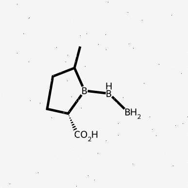 BBB1C(C)CC[C@H]1C(=O)O